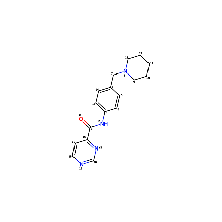 O=C(Nc1ccc(CN2CCCCC2)cc1)c1ccncn1